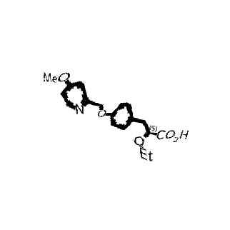 CCO[C@@H](Cc1ccc(OCc2cc(OC)ccn2)cc1)C(=O)O